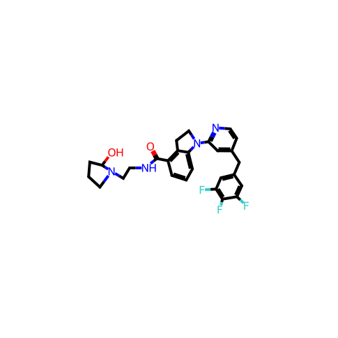 O=C(NCCN1CCCC1O)c1cccc2c1CCN2c1cc(Cc2cc(F)c(F)c(F)c2)ccn1